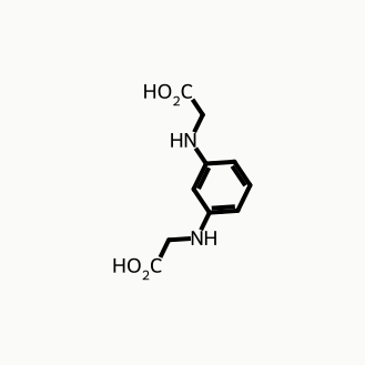 O=C(O)CNc1cccc(NCC(=O)O)c1